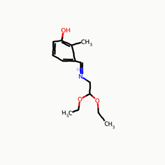 CCOC(C/N=C/c1cccc(O)c1C)OCC